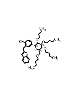 CCCCOC[C@H]1O[C@@H](c2ccc(Cl)c(Cc3cc4ccccc4s3)c2)[C@H](OCCCC)[C@@H](OCCCC)[C@@H]1OCCCC